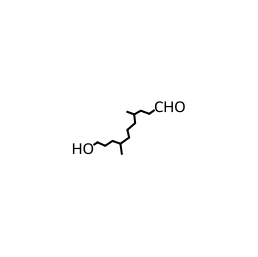 CC(CCC=O)CCCC(C)CCCO